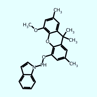 COc1cc(C)cc2c1Oc1c(OPn3ccc4ccccc43)cc(C)cc1C2(C)C